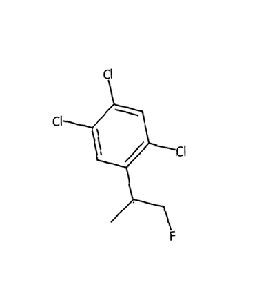 C[C](CF)c1cc(Cl)c(Cl)cc1Cl